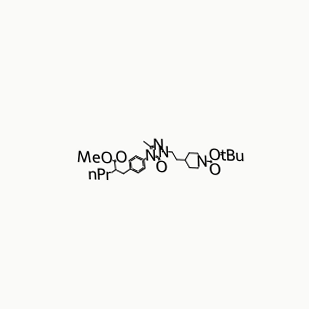 CCCC(Cc1ccc(-n2c(C)nn(CCC3CCN(C(=O)OC(C)(C)C)CC3)c2=O)cc1)C(=O)OC